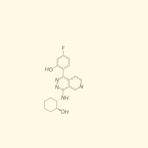 Oc1cc(F)ccc1-c1nnc(N[C@H]2CCCC[C@@H]2O)c2cnccc12